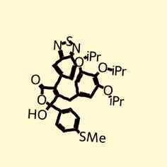 CSc1ccc(C2(O)OC(=O)C(c3ccc4nsnc4c3)=C2Cc2cc(OC(C)C)c(OC(C)C)c(OC(C)C)c2)cc1